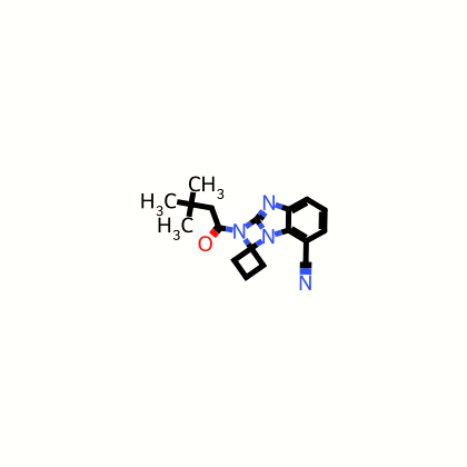 CC(C)(C)CC(=O)N1c2nc3cccc(C#N)c3n2C12CCC2